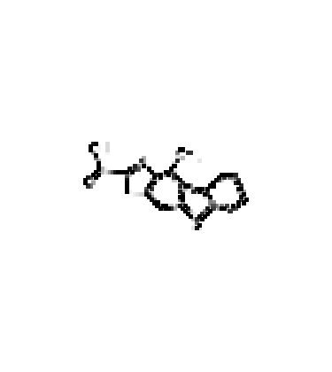 Cc1c2c(cc3sc4ccccc4c13)CC(C(=O)O)=N2